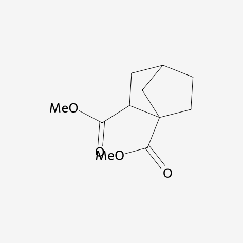 COC(=O)C1CC2CCC1(C(=O)OC)C2